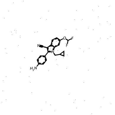 N#Cc1c(-c2ccc(N)cc2)n(CC2CC2)c2cc(OC(F)F)ccc12